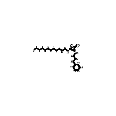 CCCCCCCCCCCCC[C@H]1OC(=O)[C@@H]1CCCCc1ccccc1